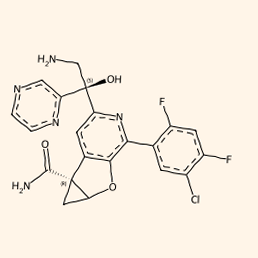 NC[C@@](O)(c1cnccn1)c1cc2c(c(-c3cc(Cl)c(F)cc3F)n1)OC1C[C@@]21C(N)=O